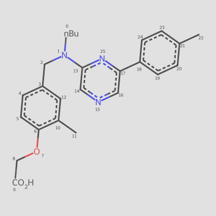 CCCCN(Cc1ccc(OCC(=O)O)c(C)c1)c1cncc(-c2ccc(C)cc2)n1